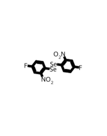 O=[N+]([O-])c1cc(F)ccc1[Se][Se]c1ccc(F)cc1[N+](=O)[O-]